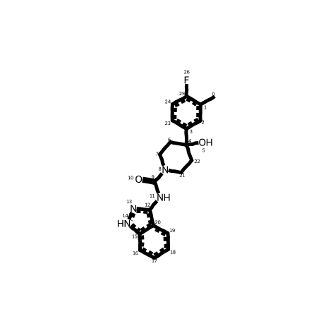 Cc1cc(C2(O)CCN(C(=O)Nc3n[nH]c4ccccc34)CC2)ccc1F